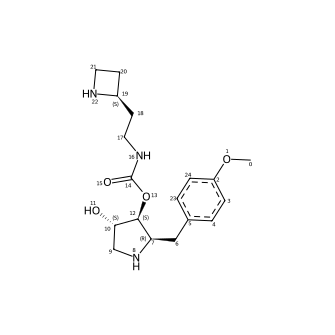 COc1ccc(C[C@H]2NC[C@H](O)[C@H]2OC(=O)NCC[C@@H]2CCN2)cc1